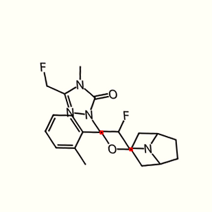 Cc1ccccc1COC1CC2CCC(C1)N2CC(F)Cn1nc(CF)n(C)c1=O